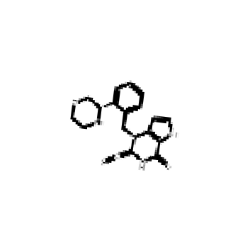 O=C1NC(=C=S)N(Cc2ccccc2[C@@H]2COCCN2)c2cc[nH]c21